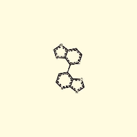 [c]1nc2c(-c3ccnc4ncoc34)nccc2o1